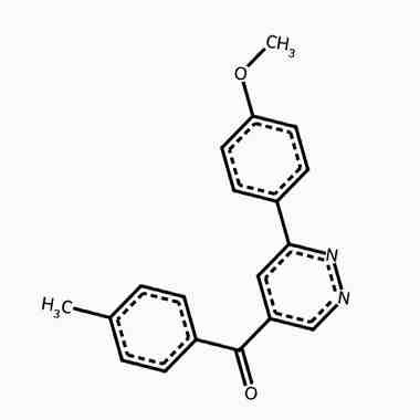 COc1ccc(-c2cc(C(=O)c3ccc(C)cc3)cnn2)cc1